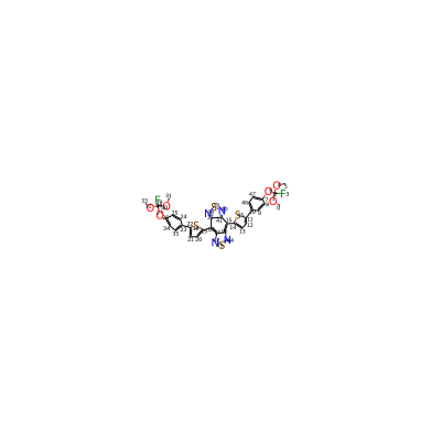 COC(F)(OC)Oc1ccc(-c2ccc(-c3c4c(c(-c5ccc(-c6ccc(OC(F)(OC)OC)cc6)s5)c5nsnc35)N=S=N4)s2)cc1